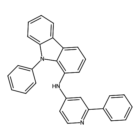 c1ccc(-c2cc(Nc3cccc4c5ccccc5n(-c5ccccc5)c34)ccn2)cc1